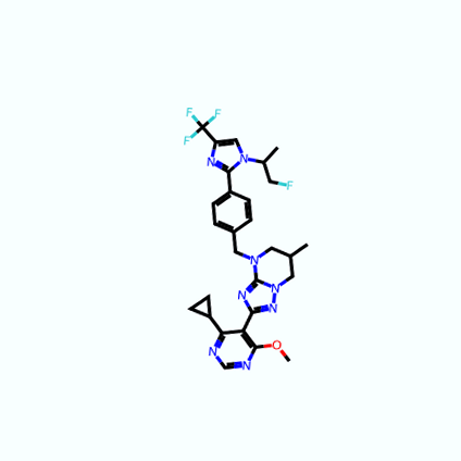 COc1ncnc(C2CC2)c1-c1nc2n(n1)CC(C)CN2Cc1ccc(-c2nc(C(F)(F)F)cn2C(C)CF)cc1